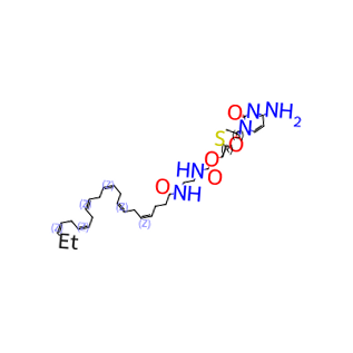 CC/C=C\C/C=C\C/C=C\C/C=C\C/C=C\C/C=C\CCC(=O)NCCNC(=O)OC[C@@H]1O[C@H](n2ccc(N)nc2=O)CS1